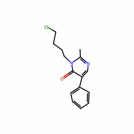 Cc1ncc(-c2ccccc2)c(=O)n1CCCCCl